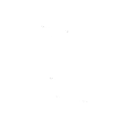 COC(=O)C(N)CC(C)CCc1ccc(OC)c(OC)c1OC